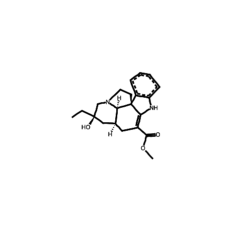 CC[C@@]1(O)C[C@@H]2CC(C(=O)OC)=C3Nc4ccccc4[C@]34CCN(C1)[C@H]24